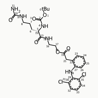 CC(C)(C)OC(=O)N[C@@H](CCCNC(N)=O)C(=O)NCCOC(=O)Cc1ccccc1Nc1c(Cl)cccc1Cl